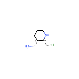 NC[C@@H]1CCCN[C@@H]1CCl